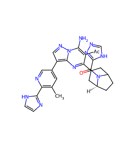 CC(=O)c1c(C2CC3CC[C@@H](C2)N3C(=O)c2nnc[nH]2)nc2c(-c3cnc(-c4ncc[nH]4)c(C)c3)cnn2c1N